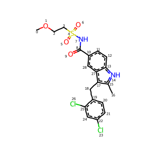 COCCS(=O)(=O)NC(=O)c1ccc2[nH]c(C)c(Cc3ccc(Cl)cc3Cl)c2c1